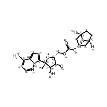 CN1[C@@H]2CC[C@H]1C[C@@H](OC(=O)OC[C@H]1O[C@@](C)(c3ccc4c(N)ncnn34)[C@H](O)[C@@H]1O)C2